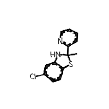 CC1(c2ccccn2)Nc2cc(Cl)ccc2S1